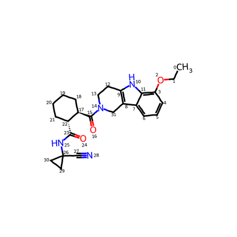 CCOc1cccc2c3c([nH]c12)CCN(C(=O)[C@@H]1CCCC[C@H]1C(=O)NC1(C#N)CC1)C3